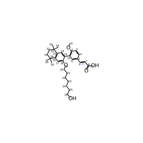 COc1ccc(/C=C/C(=O)O)cc1-c1cc2c(cc1OCCCCCCCO)C(C)(C)CCC2(C)C